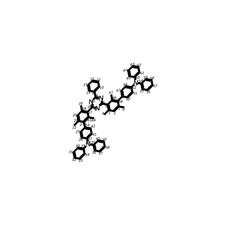 Cc1cc(C)c(-c2nc(-c3ccccc3)nc(-c3c(C)cc(C)c(-c4ccc(N(c5ccccc5)c5ccccc5)cc4)c3C)n2)c(C)c1-c1ccc(N(c2ccccc2)c2ccccc2)cc1